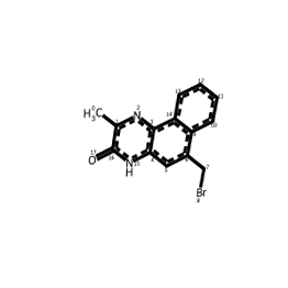 Cc1nc2c(cc(CBr)c3ccccc32)[nH]c1=O